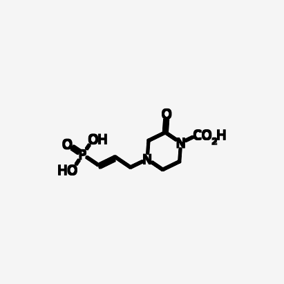 O=C(O)N1CCN(C/C=C/P(=O)(O)O)CC1=O